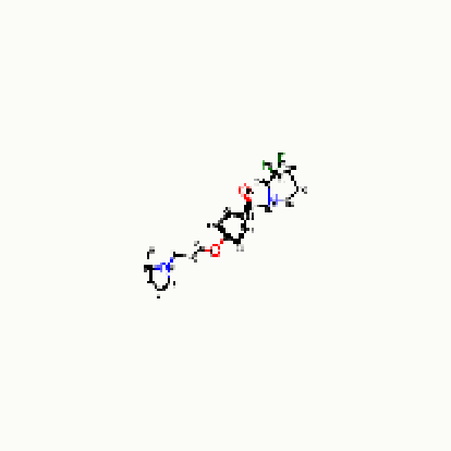 C[C@@H]1CCCN1CCCOc1ccc(C(=O)CN2CCCC(F)(F)C2)cc1